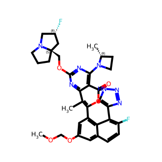 COCOc1cc(-c2oc(=O)c3c(N4CC[C@H]4C)nc(OC[C@@]45CCCN4C[C@H](F)C5)nc3c2C)c2c(-c3c[nH]nn3)c(F)ccc2c1